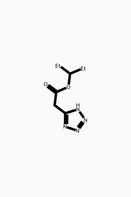 CCC(CC)OC(=O)Cc1nnn[nH]1